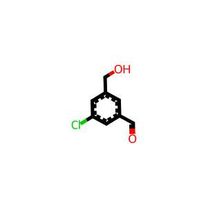 O=Cc1cc(Cl)cc(CO)c1